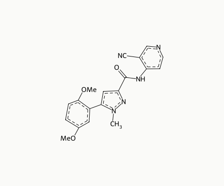 COc1ccc(OC)c(-c2cc(C(=O)Nc3ccncc3C#N)nn2C)c1